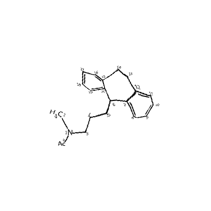 CC(=O)N(C)CCCC1c2ccccc2CCc2ccccc21